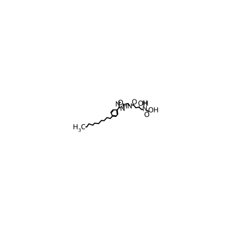 CCCCCCCCCCc1ccc(-c2noc(CNC(=O)C[C@@H](O)CNC(=O)O)n2)cc1